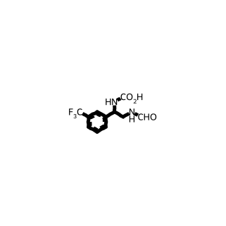 O=CNCC(NC(=O)O)c1cccc(C(F)(F)F)c1